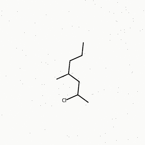 CCCC(C)CC(C)Cl